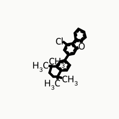 CC1(C)CCC(C)(C)c2cc(-c3cc(Cl)c4c(c3)oc3ccccc34)ccc21